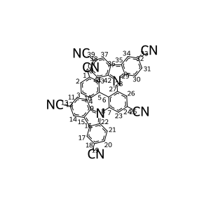 N#Cc1cccc(-c2c(-n3c4ccc(C#N)cc4c4cc(C#N)ccc43)cc(C#N)cc2-n2c3ccc(C#N)cc3c3cc(C#N)ccc32)c1